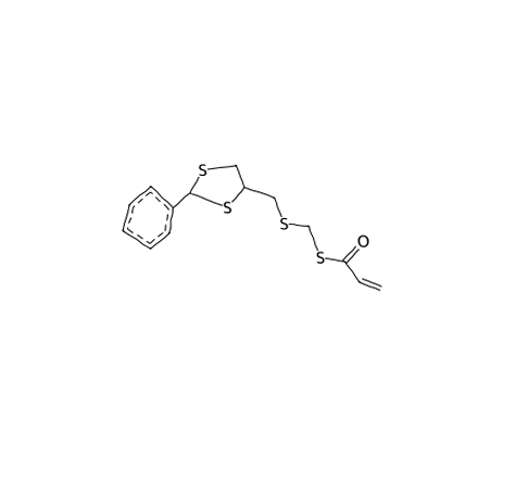 C=CC(=O)SCSCC1CSC(c2ccccc2)S1